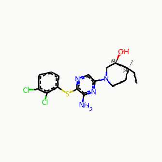 CC[C@@]1(C)CCN(c2cnc(Sc3cccc(Cl)c3Cl)c(N)n2)C[C@H]1O